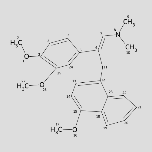 COc1ccc(/C(=C/N(C)C)Cc2ccc(OC)c3ccccc23)cc1OC